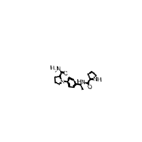 CC(NC(=O)C1CCCN1)c1ccc(N2CCCC2C(N)=O)cc1